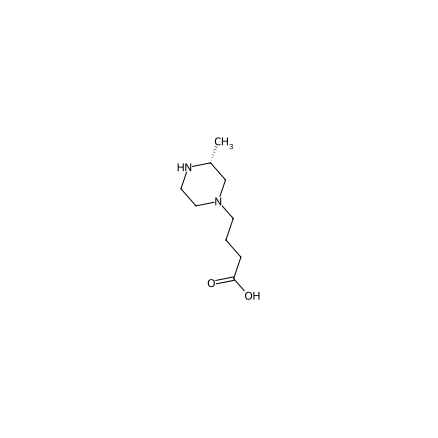 C[C@@H]1CN(CCCC(=O)O)CCN1